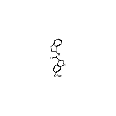 COc1ccc2c(c1)nnn2C(=O)NC1CCc2ccccc21